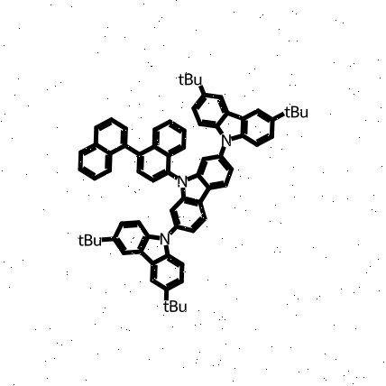 CC(C)(C)c1ccc2c(c1)c1cc(C(C)(C)C)ccc1n2-c1ccc2c3ccc(-n4c5ccc(C(C)(C)C)cc5c5cc(C(C)(C)C)ccc54)cc3n(-c3ccc(-c4cccc5ccccc45)c4ccccc34)c2c1